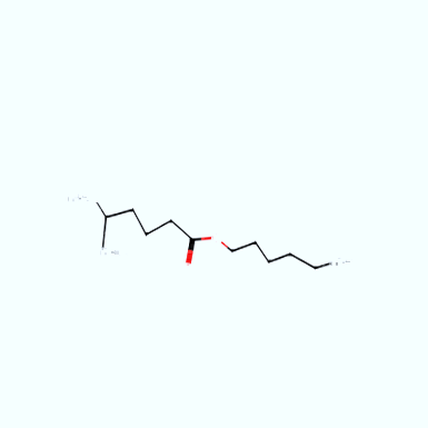 CCCCCCCCCCCCCCCOC(=O)CCCC(CCCCCCC)CCCCCCC